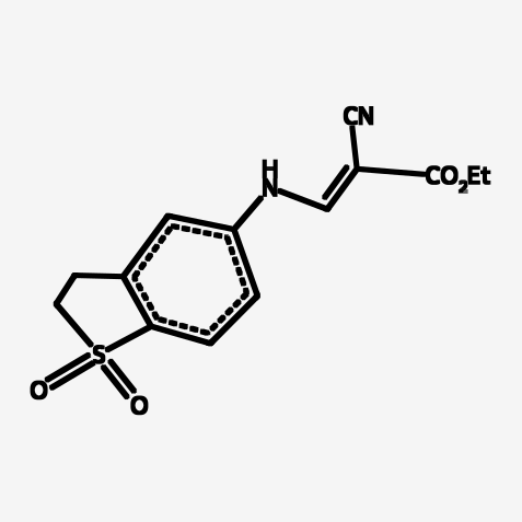 CCOC(=O)C(C#N)=CNc1ccc2c(c1)CCS2(=O)=O